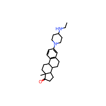 CCNC1CCN(c2ccc3c(c2)CCC2C3CCC3(C)C(=O)CCC23)CC1